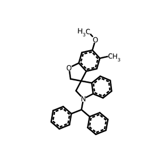 COc1cc2c(cc1C)C1(CO2)CN(C(c2ccccc2)c2ccccc2)c2ccccc21